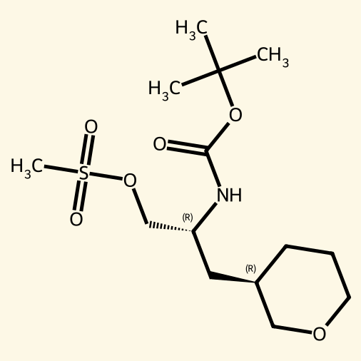 CC(C)(C)OC(=O)N[C@@H](COS(C)(=O)=O)C[C@H]1CCCOC1